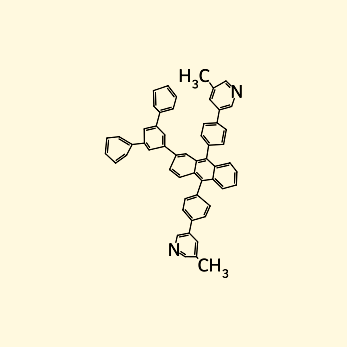 Cc1cncc(-c2ccc(-c3c4ccccc4c(-c4ccc(-c5cncc(C)c5)cc4)c4cc(-c5cc(-c6ccccc6)cc(-c6ccccc6)c5)ccc34)cc2)c1